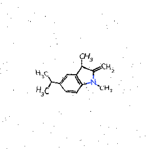 C=C1C(C)c2cc(C(C)C)ccc2N1C